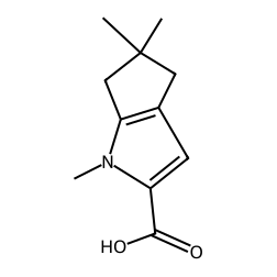 Cn1c(C(=O)O)cc2c1CC(C)(C)C2